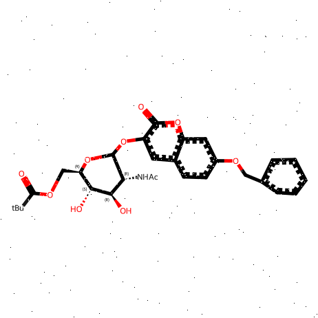 CC(=O)N[C@H]1C(Oc2cc3ccc(OCc4ccccc4)cc3oc2=O)O[C@H](COC(=O)C(C)(C)C)[C@@H](O)[C@@H]1O